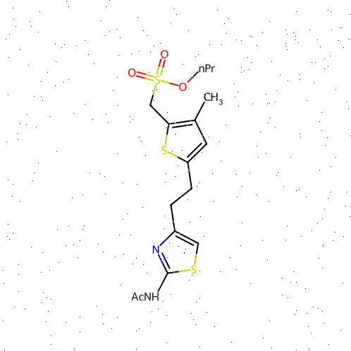 CCCOS(=O)(=O)Cc1sc(CCc2csc(NC(C)=O)n2)cc1C